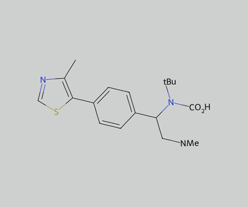 CNCC(c1ccc(-c2scnc2C)cc1)N(C(=O)O)C(C)(C)C